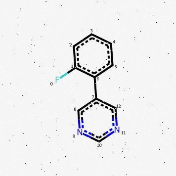 Fc1ccccc1-c1cncnc1